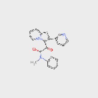 CN(C(=O)C(=O)c1c(-c2cccnc2)cc2ccccn12)c1ccccc1